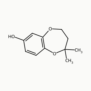 CC1(C)CCOc2cc(O)ccc2O1